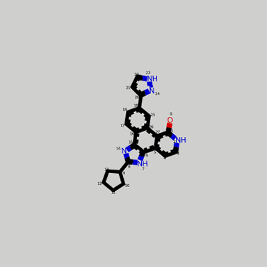 O=c1[nH]ccc2c3[nH]c(C4CCCC4)nc3c3ccc(-c4cc[nH]n4)cc3c12